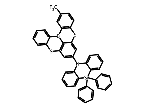 FC(F)(F)c1ccc2c(c1)B1c3ccccc3Sc3cc(N4c5ccccc5[Si](c5ccccc5)(c5ccccc5)c5ccccc54)cc(c31)S2